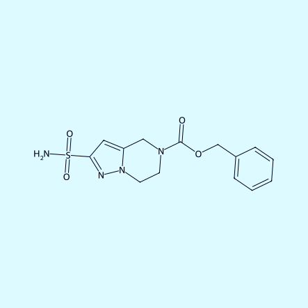 NS(=O)(=O)c1cc2n(n1)CCN(C(=O)OCc1ccccc1)C2